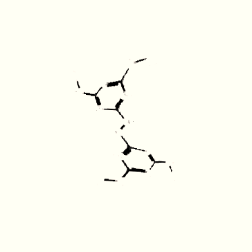 COc1nc(NNc2nc(OC)nc(OC)n2)nc(OC)n1